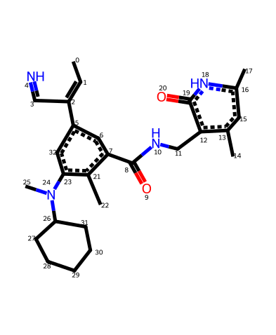 C/C=C(\C=N)c1cc(C(=O)NCc2c(C)cc(C)[nH]c2=O)c(C)c(N(C)C2CCCCC2)c1